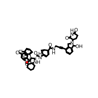 O=C1CCC(N2Cc3c(C#CCNC(=O)c4ccc(NC(=O)[C@@H]5NC6(CCCCC6)[C@@]6(C(=O)Nc7cc(Cl)ccc76)[C@H]5c5cccc(Cl)c5F)cc4)cccc3C2O)C(=O)N1